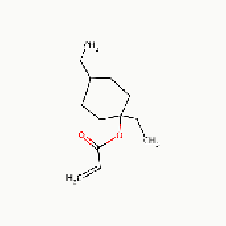 C=CC(=O)OC1(CC)CCC(CC)CC1